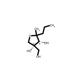 CCCC1(C)OC[C@](O)(CO)[C@H]1O